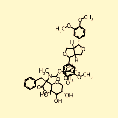 COc1ccc([C@@H]2OC[C@@H]3C(c4ccc(O[C@H]5O[C@H]([C@](Cc6ccccc6)(C(=O)O)N(C)C(=O)OC(C)(C)C)[C@@H](O)[C@H](O)[C@H]5O)c(OC)c4)OC[C@@H]32)cc1OC